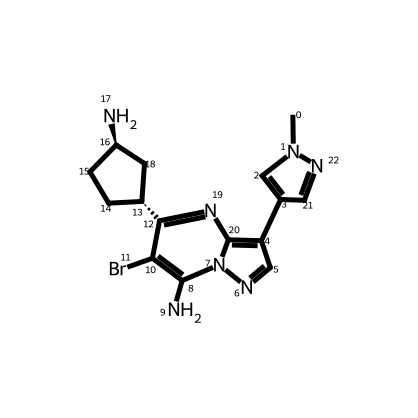 Cn1cc(-c2cnn3c(N)c(Br)c([C@@H]4CC[C@@H](N)C4)nc23)cn1